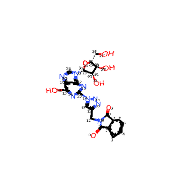 O=C1c2ccccc2C(=O)N1Cc1cn(-c2nc(O)c3ncn([C@@H]4O[C@H](CO)[C@@H](O)[C@H]4O)c3n2)nn1